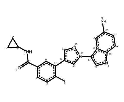 Cc1ccc(C(=O)NC2CC2)cc1-c1cnn(-c2cnc3ccc(S)cn23)c1